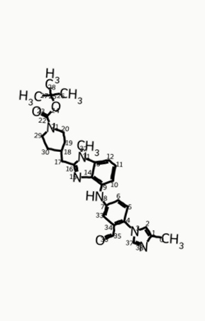 Cc1cn(-c2ccc(Nc3cccc4c3nc(CC3CCN(C(=O)OC(C)(C)C)CC3)n4C)cc2C=O)cn1